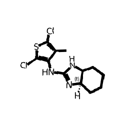 Cc1c(Cl)sc(Cl)c1NC1=N[C@@H]2CCCCC2N1